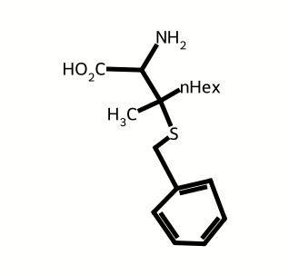 CCCCCCC(C)(SCc1ccccc1)C(N)C(=O)O